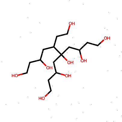 OCCC(O)CC(CCO)C(O)(CC(O)CCO)CC(O)CCO